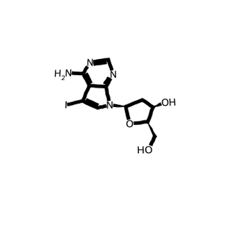 Nc1ncnc2c1c(I)cn2[C@H]1C[C@@H](O)[C@@H](CO)O1